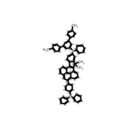 Cc1ccc(-c2cc(-c3ccc(C)cc3)cc(N(c3ccccc3)c3ccc4c(c3)C(C)(C)c3c-4c4cccc5cc(-c6ccc(N(c7ccccc7)c7ccccc7)cc6)c6cccc3c6c54)c2)cc1